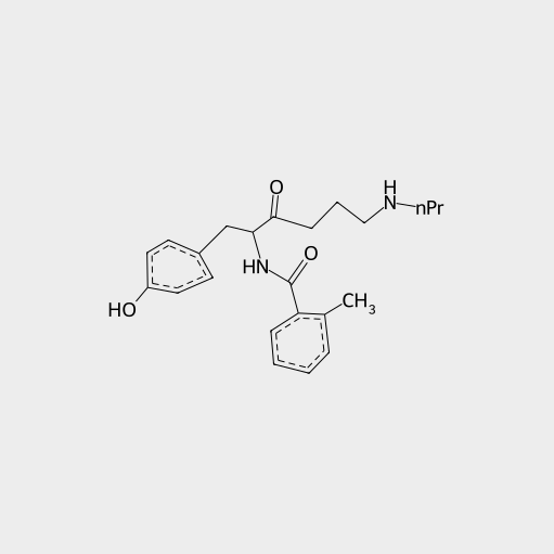 CCCNCCCC(=O)C(Cc1ccc(O)cc1)NC(=O)c1ccccc1C